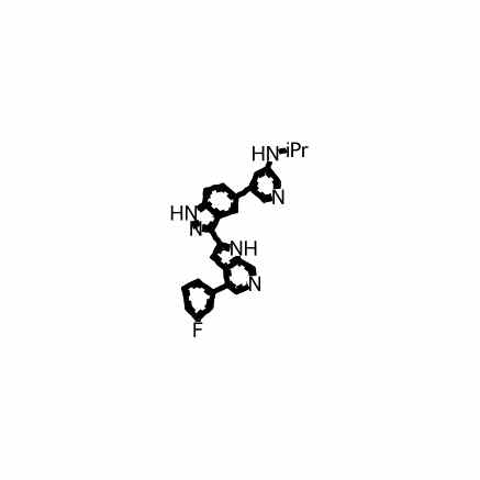 CC(C)Nc1cncc(-c2ccc3[nH]nc(-c4cc5c(-c6cccc(F)c6)cncc5[nH]4)c3c2)c1